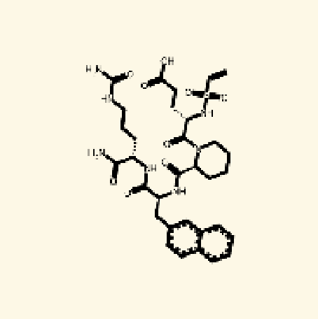 C=CS(=O)(=O)N[C@@H](CCC(=O)O)C(=O)N1CCCC[C@H]1C(=O)N[C@@H](Cc1ccc2ccccc2c1)C(=O)N[C@@H](CCCNC(N)=O)C(N)=O